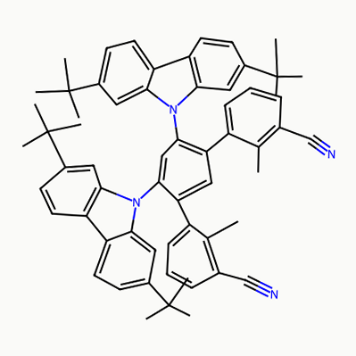 Cc1c(C#N)cccc1-c1cc(-c2cccc(C#N)c2C)c(-n2c3cc(C(C)(C)C)ccc3c3ccc(C(C)(C)C)cc32)cc1-n1c2cc(C(C)(C)C)ccc2c2ccc(C(C)(C)C)cc21